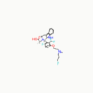 C[C@@H]1Cc2c([nH]c3ccccc23)[C@@H](c2c(F)ccc(OCCN(C)CCCF)c2C(F)F)N1C[C@H](C)C(=O)O